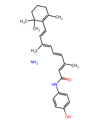 CC(C=CC1=C(C)CCCC1(C)C)=CC=CC(C)=CC(=O)Nc1ccc(O)cc1.N